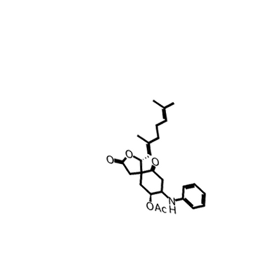 CC(=O)O[C@H]1CC2(CC(=O)O[C@@H]2/C=C(\C)CCC=C(C)C)C(=O)CC1Nc1ccccc1